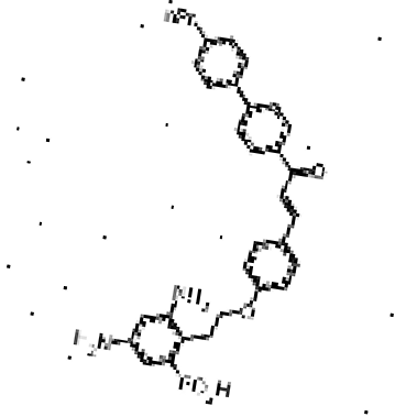 CCCc1ccc(-c2ccc(C(=O)/C=C/c3ccc(OCCc4c(N)cc(N)cc4C(=O)O)cc3)cc2)cc1